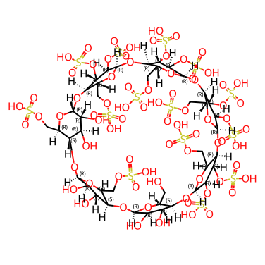 O=S(=O)(O)OC[C@H]1O[C@@H]2O[C@H]3[C@H](O)[C@@H](O)[C@@H](O[C@H]4[C@H](OS(=O)(=O)O)[C@@H](OS(=O)(=O)O)[C@@H](O[C@H]5[C@H](OS(=O)(=O)O)[C@@H](OS(=O)(=O)O)[C@@H](O[C@H]6[C@H](OS(=O)(=O)O)[C@@H](OS(=O)(=O)O)[C@@H](O[C@H]7[C@H](OS(=O)(=O)O)[C@@H](OS(=O)(=O)O)[C@@H](O[C@H]8[C@H](O)[C@@H](O)[C@@H](O[C@H]1[C@H](O)[C@H]2O)O[C@@H]8CO)O[C@@H]7COS(=O)(=O)O)O[C@@H]6COS(=O)(=O)O)O[C@@H]5COS(=O)(=O)O)O[C@@H]4COS(=O)(=O)O)O[C@@H]3COS(=O)(=O)O